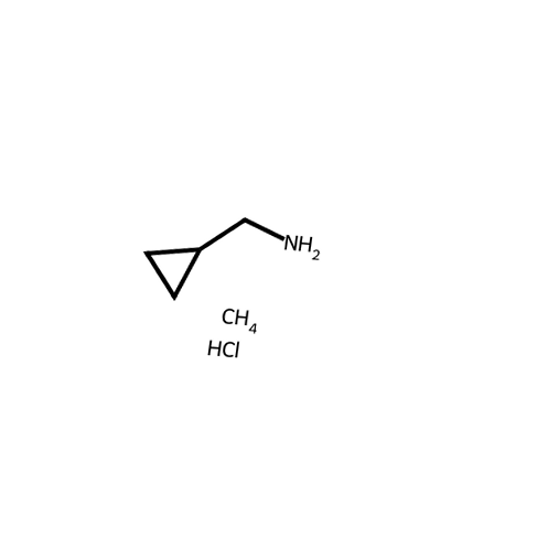 C.Cl.NCC1CC1